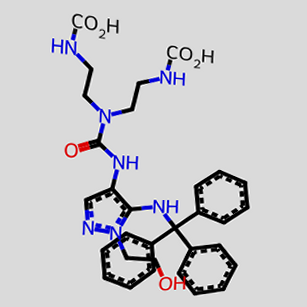 O=C(O)NCCN(CCNC(=O)O)C(=O)Nc1cnn(CCO)c1NC(c1ccccc1)(c1ccccc1)c1ccccc1